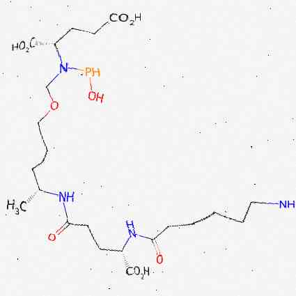 C[C@H](CCCOCN(PO)[C@@H](CCC(=O)O)C(=O)O)NC(=O)CC[C@H](NC(=O)CCCCCN)C(=O)O